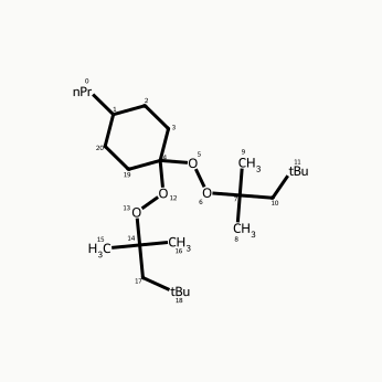 CCCC1CCC(OOC(C)(C)CC(C)(C)C)(OOC(C)(C)CC(C)(C)C)CC1